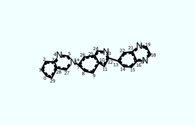 c1ccc2nc[n+](-c3ccc4cc(-c5ccc6nccnc6c5)ncc4c3)cc2c1